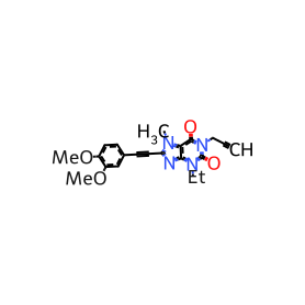 C#CCn1c(=O)c2c(nc(C#Cc3ccc(OC)c(OC)c3)n2C)n(CC)c1=O